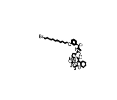 CC(C(=O)NC(C(=O)N1CCC[C@H]1c1nc(C(=O)c2cccc(OCCCCCCCCCCBr)c2)cs1)C1CCCCC1)N(C)C(=O)OC(C)(C)C